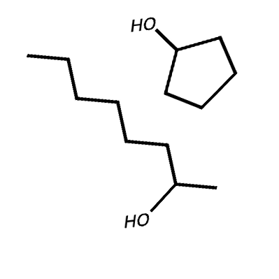 CCCCCCC(C)O.OC1CCCC1